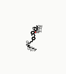 Cc1ccc([C@]23OC[C@](C(C)(C)O)(O2)[C@@H](O)[C@H](O)[C@H]3O)cc1Cc1ccc(CCCC(=O)N(C)C(C)(C)C(=O)NCCN(C)C)cc1